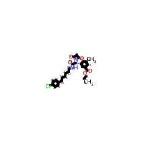 C=CCOC(=O)c1ccc(OC2CC(=O)N2CC(=O)NCCCCCCc2ccc(Cl)cc2)c(C)c1